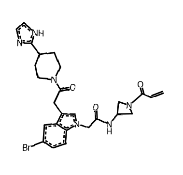 C=CC(=O)N1CC(NC(=O)Cn2cc(CC(=O)N3CCC(c4ncc[nH]4)CC3)c3cc(Br)ccc32)C1